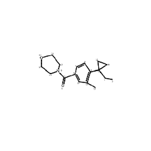 CCC1(c2ccc(C(=O)N3CCOCC3)cc2C)CC1